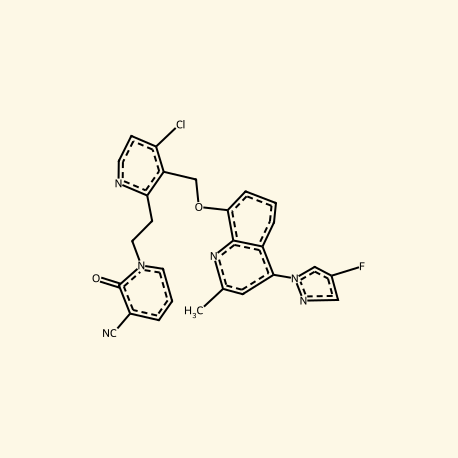 Cc1cc(-n2cc(F)cn2)c2cccc(OCc3c(Cl)ccnc3CCn3cccc(C#N)c3=O)c2n1